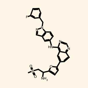 CS(=O)(=O)CC(N)c1ccc(-c2ccc3ncnc(Nc4ccc5c(cnn5Cc5cccc(F)c5)c4)c3c2)o1